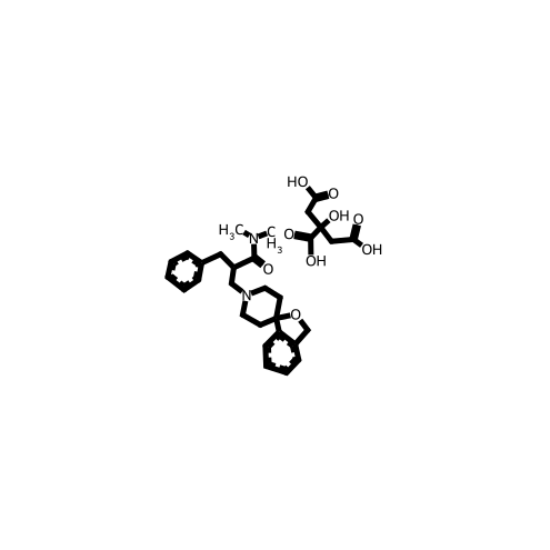 CN(C)C(=O)C(Cc1ccccc1)CN1CCC2(CC1)OCc1ccccc12.O=C(O)CC(O)(CC(=O)O)C(=O)O